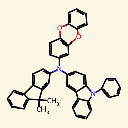 CC1(C)c2ccccc2-c2ccc(N(c3ccc4c(c3)Oc3ccccc3O4)c3ccc4c(c3)c3ccccc3n4-c3ccccc3)cc21